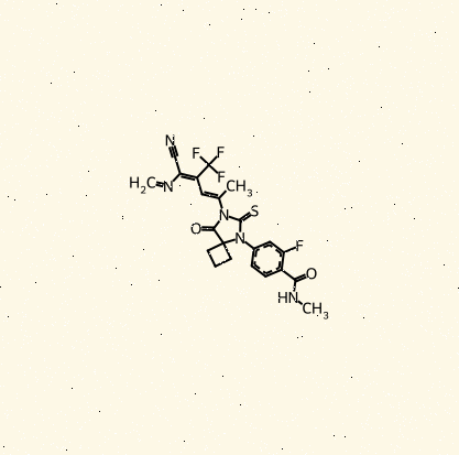 C=N/C(C#N)=C(\C=C(/C)N1C(=O)C2(CCC2)N(c2ccc(C(=O)NC)c(F)c2)C1=S)C(F)(F)F